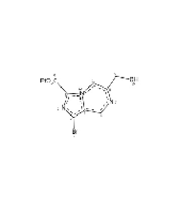 CCOC(=O)c1nc(Br)c2cnc(CO)cn12